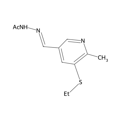 CCSc1cc(/C=N/NC(C)=O)cnc1C